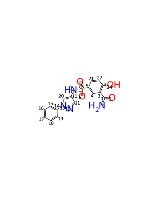 NC(=O)c1cc(S(=O)(=O)Nc2cnn(-c3ccccc3)c2)ccc1O